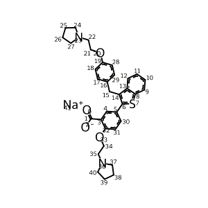 O=C([O-])c1cc(-c2sc3ccccc3c2Cc2ccc(OCCN3CCCC3)cc2)ccc1OCCN1CCCC1.[Na+]